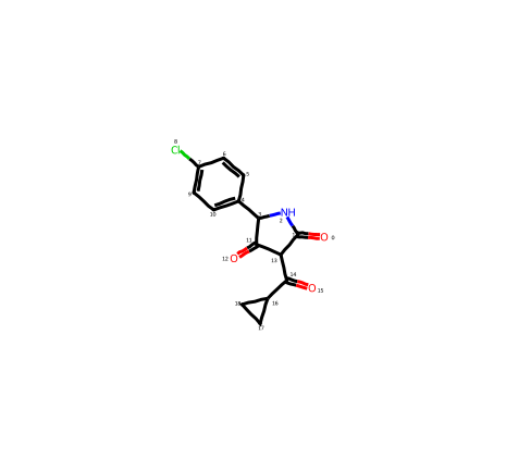 O=C1NC(c2ccc(Cl)cc2)C(=O)C1C(=O)C1CC1